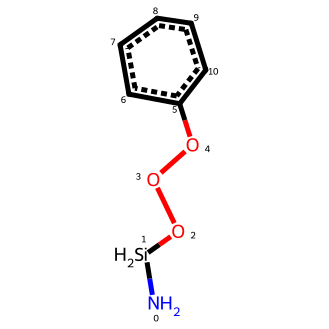 N[SiH2]OOOc1ccccc1